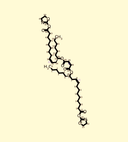 CCCCCC[C@H](C/C=C\CCCCCCCC(=O)OC1=NCCO1)OC(=O)/C=C\C(=O)O[C@@H](C/C=C\CCCCCCCC(=O)OC1=NCCO1)CCCCCC